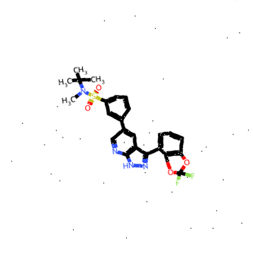 CN(C(C)(C)C)S(=O)(=O)c1cccc(-c2cnc3[nH]nc(-c4cccc5c4OC(F)(F)O5)c3c2)c1